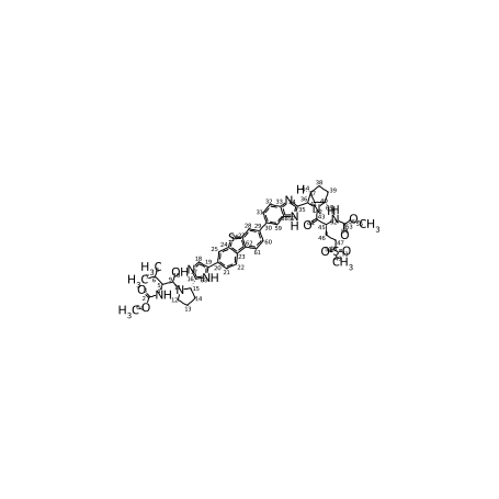 COC(=O)N[C@@H](C(C)C)C(O)N1CCC[C@H]1c1ncc(-c2ccc3c(c2)sc2cc(-c4ccc5nc(C6[C@H]7CC[C@H](C7)N6C(=O)[C@H](CCS(C)(=O)=O)NC(=O)OC)[nH]c5c4)ccc23)[nH]1